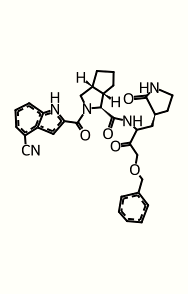 N#Cc1cccc2[nH]c(C(=O)N3C[C@@H]4CCC[C@@H]4[C@H]3C(=O)NC(C[C@@H]3CCNC3=O)C(=O)COCc3ccccc3)cc12